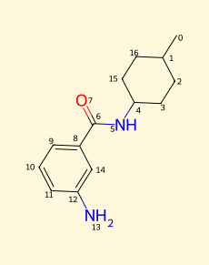 CC1CCC(NC(=O)c2cccc(N)c2)CC1